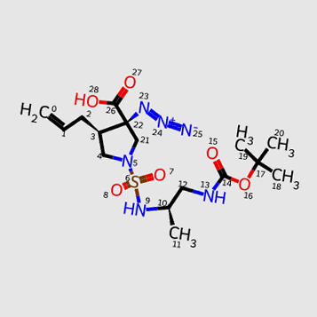 C=CC[C@@H]1CN(S(=O)(=O)N[C@H](C)CNC(=O)OC(C)(C)C)C[C@@]1(N=[N+]=[N-])C(=O)O